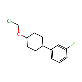 Fc1cccc(C2CCC(OCCl)CC2)c1